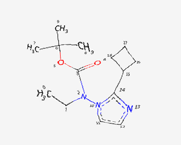 CCN(C(=O)OC(C)(C)C)n1ccnc1C1CCC1